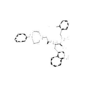 CC(=O)N(Cc1ccccc1C(F)(F)F)C(=O)C(Cc1c[nH]c2ccccc12)NC(=O)CN1CCN(c2ccccc2)CC1